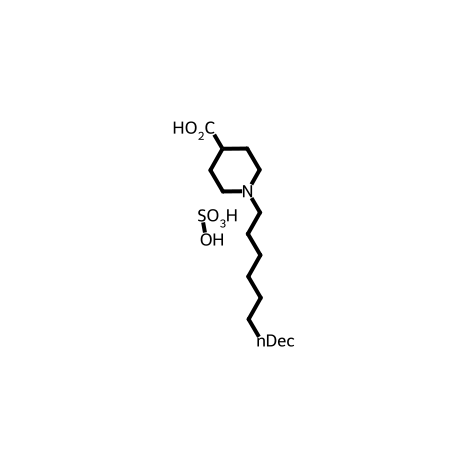 CCCCCCCCCCCCCCCCN1CCC(C(=O)O)CC1.O=S(=O)(O)O